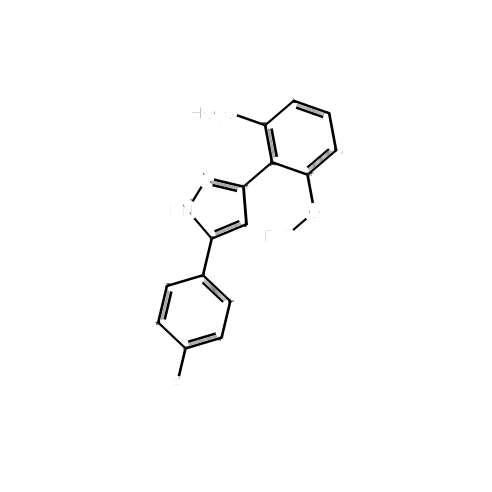 O=C(O)c1cccc(OC(F)(F)F)c1-c1cc(-c2ccc(F)cc2)[nH]n1